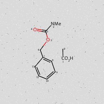 CC(=O)O.CNC(=O)OCc1ccccc1